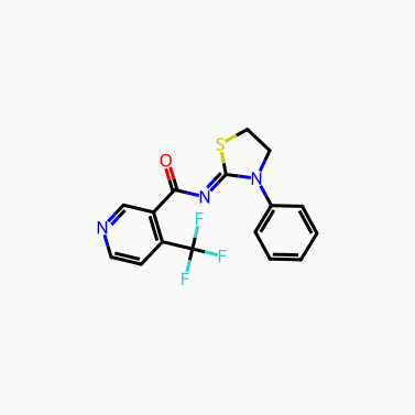 O=C(N=C1SCCN1c1ccccc1)c1cnccc1C(F)(F)F